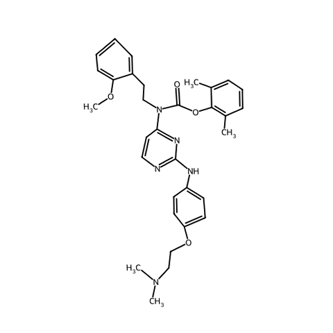 COc1ccccc1CCN(C(=O)Oc1c(C)cccc1C)c1ccnc(Nc2ccc(OCCN(C)C)cc2)n1